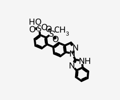 CS(=O)(=O)c1c(-c2ccc3c(cnn3-c3nc4ccccc4[nH]3)c2)cccc1S(=O)(=O)O